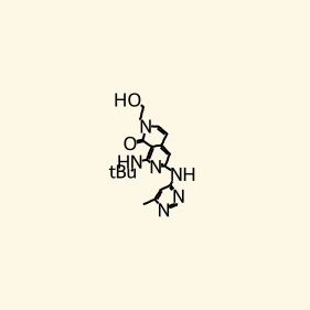 Cc1cc(Nc2cc3ccn(CCO)c(=O)c3c(NC(C)(C)C)n2)ncn1